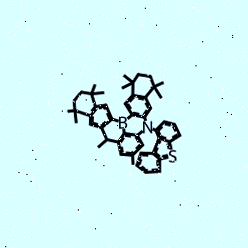 Cc1cc2c3c(c1)N(c1cccc4sc5ccccc5c14)c1cc4c(cc1B3c1cc3c(cc1C2C)C(C)(C)CCC3(C)C)C(C)(C)CCC4(C)C